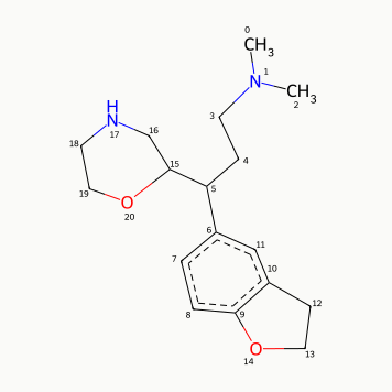 CN(C)CCC(c1ccc2c(c1)CCO2)C1CNCCO1